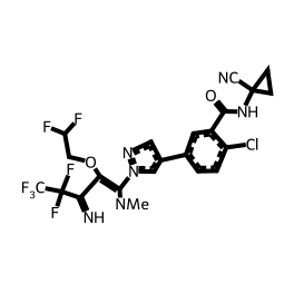 CN/C(=C(/OCC(F)F)C(=N)C(F)(F)C(F)(F)F)n1cc(-c2ccc(Cl)c(C(=O)NC3(C#N)CC3)c2)cn1